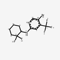 FC(F)(F)c1cc(NC2CCCCC2(F)F)ncc1Br